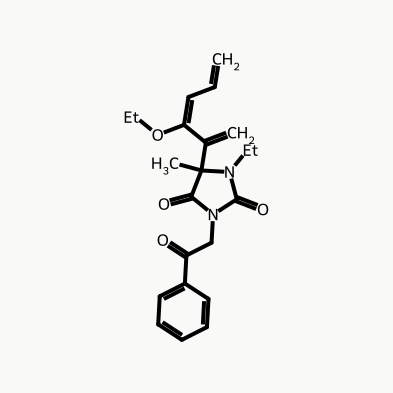 C=C/C=C(/OCC)C(=C)C1(C)C(=O)N(CC(=O)c2ccccc2)C(=O)N1CC